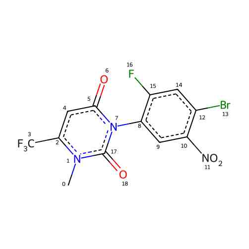 Cn1c(C(F)(F)F)cc(=O)n(-c2cc([N+](=O)[O-])c(Br)cc2F)c1=O